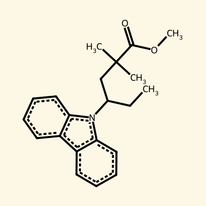 CCC(CC(C)(C)C(=O)OC)n1c2ccccc2c2ccccc21